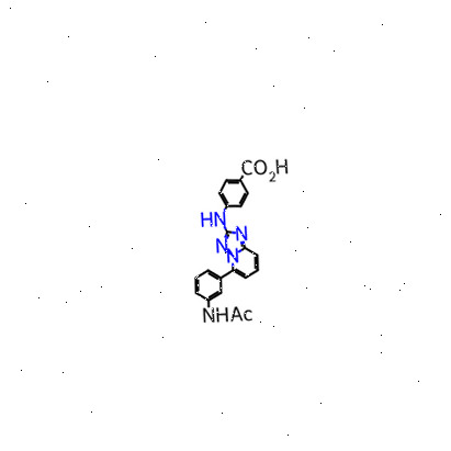 CC(=O)Nc1cccc(-c2cccc3nc(Nc4ccc(C(=O)O)cc4)nn23)c1